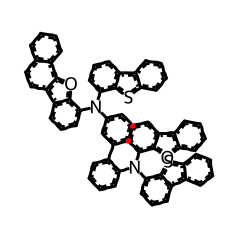 c1cc(-c2ccccc2N(c2cccc3c2oc2ccccc23)c2cccc3c2sc2ccccc23)cc(N(c2cccc3c2oc2c4ccccc4ccc32)c2cccc3c2sc2ccccc23)c1